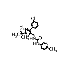 Cc1ccc(NC(=O)NCc2sc(C(C)(C)C)nc2-c2cccc(Cl)c2)cn1